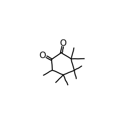 CC1C(=O)C(=O)C(C)(C)C(C)(C)C1(C)C